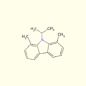 Cc1cccc2c3cccc(C)c3n(C(C)C)c12